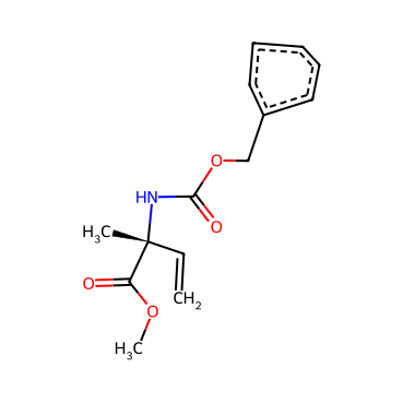 C=C[C@@](C)(NC(=O)OCc1ccccc1)C(=O)OC